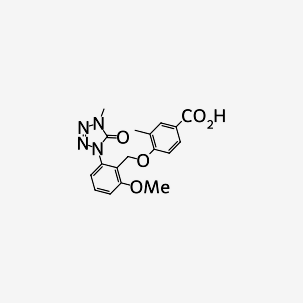 COc1cccc(-n2nnn(C)c2=O)c1COc1ccc(C(=O)O)cc1C